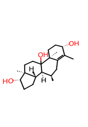 CC1=C2C[C@@H](C)[C@H]3[C@@H]4CC[C@H](O)[C@@]4(C)CCC3(O)[C@@]2(C)CC[C@@H]1O